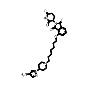 Nc1cnn(C2CCN(CCCCCCCOc3cccc4c3C(=O)N(C3CCC(=O)NC3=O)C4=O)CC2)c1